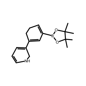 CC1(C)OB(C2=CCCC(C3=CC=CNC3)=C2)OC1(C)C